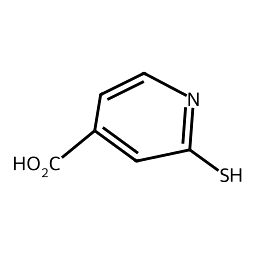 O=C(O)c1ccnc(S)c1